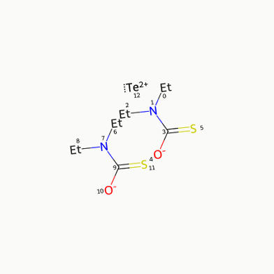 CCN(CC)C([O-])=S.CCN(CC)C([O-])=S.[Te+2]